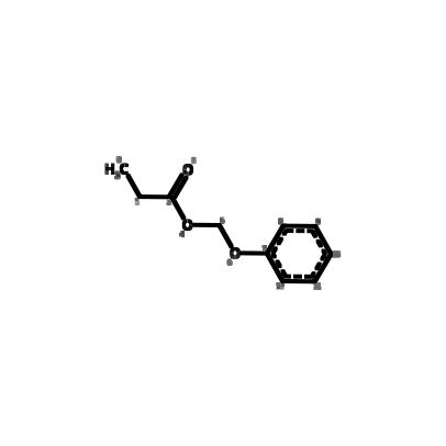 CCC(=O)OCOc1ccccc1